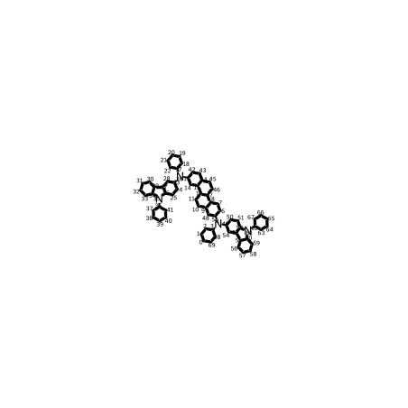 c1ccc(N(c2ccc3c(ccc4c5cc(N(c6ccccc6)c6ccc7c(c6)c6ccccc6n7-c6ccccc6)ccc5ccc34)c2)c2ccc3c(c2)c2ccccc2n3-c2ccccc2)cc1